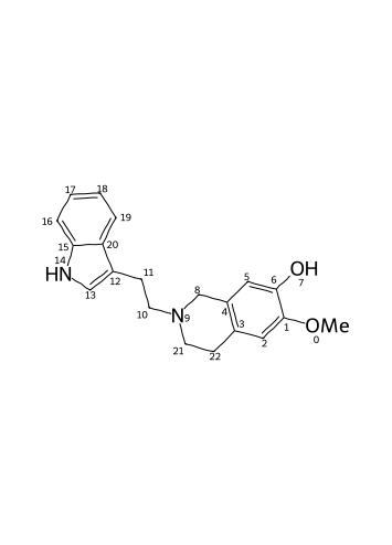 COc1cc2c(cc1O)CN(CCc1c[nH]c3ccccc13)CC2